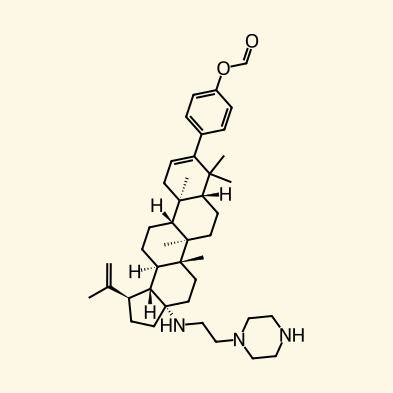 C=C(C)[C@@H]1CC[C@]2(NCCN3CCNCC3)CC[C@]3(C)[C@H](CC[C@@H]4[C@@]5(C)CC=C(c6ccc(OC=O)cc6)C(C)(C)[C@@H]5CC[C@]43C)[C@@H]12